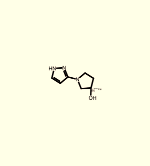 C[C@@]1(O)CCN(c2cc[nH]n2)C1